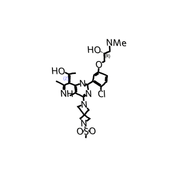 CNC[C@@H](O)COc1ccc(Cl)c(-c2nc(/C(C(C)=N)=C(\C)O)c(C)c(N3CC4(C3)CN(S(C)(=O)=O)C4)n2)c1